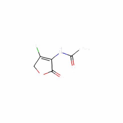 CCCCCC(=O)NC1=C(Cl)COC1=O